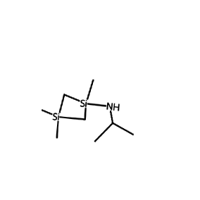 CC(C)N[Si]1(C)C[Si](C)(C)C1